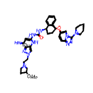 COC1CCN(CCn2cc(N/C(=C\C(=N)C(C)(C)C)NC(=O)NC3CCC(Oc4ccc5nnc(N6CCCCC6)n5c4)c4ccccc43)cn2)C1